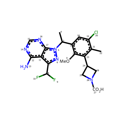 COc1c(C(C)n2nc(C(F)F)c3c(N)ncnc32)cc(Cl)c(C)c1C1CN(C(=O)O)C1